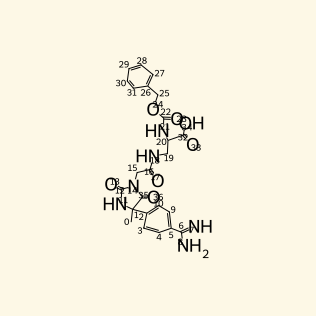 CC1(c2ccc(C(=N)N)cc2)NC(=O)N(CC(=O)NCC(NC(=O)OCc2ccccc2)C(=O)O)C1=O